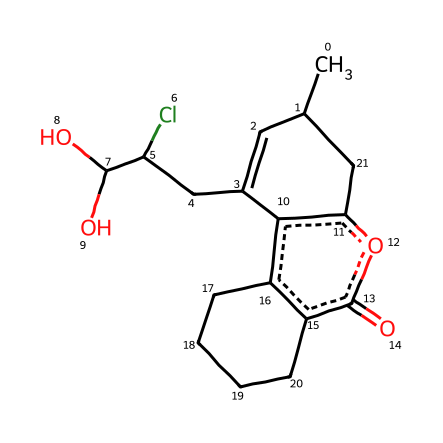 CC1C=C(CC(Cl)C(O)O)c2c(oc(=O)c3c2CCCC3)C1